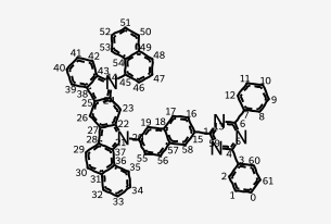 c1ccc(-c2nc(-c3ccccc3)nc(-c3ccc4cc(-n5c6cc7c(cc6c6ccc8ccccc8c65)c5ccccc5n7-c5cccc6ccccc56)ccc4c3)n2)cc1